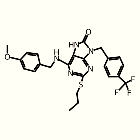 CCCSc1nc(NCc2ccc(OC)cc2)c2[nH]c(=O)n(Cc3ccc(C(F)(F)F)cc3)c2n1